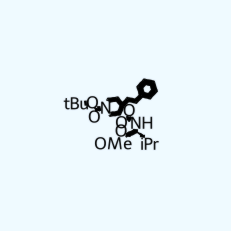 COC(=O)[C@H](CC(C)C)NC(=O)OC1(CCc2ccccc2)CCN(C(=O)OC(C)(C)C)CC1